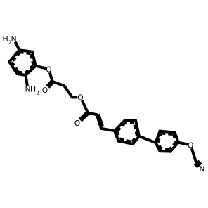 N#COc1ccc(-c2ccc(/C=C/C(=O)OCCC(=O)Oc3cc(N)ccc3N)cc2)cc1